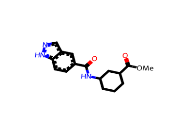 COC(=O)C1CCCC(NC(=O)c2ccc3[nH]ncc3c2)C1